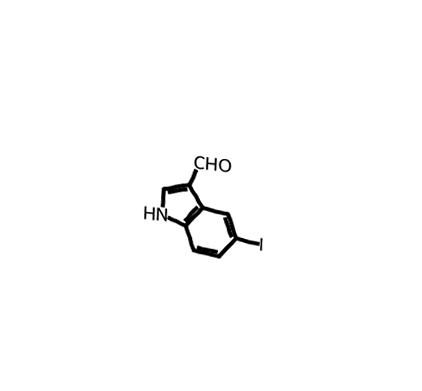 O=Cc1c[nH]c2ccc(I)cc12